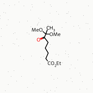 CCOC(=O)CCCCC(=O)C(C)(OC)OC